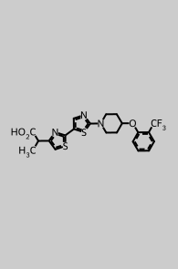 CC(C(=O)O)c1csc(-c2cnc(N3CCC(Oc4ccccc4C(F)(F)F)CC3)s2)n1